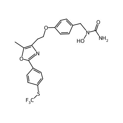 Cc1oc(-c2ccc(SC(F)(F)F)cc2)nc1CCOc1ccc(CN(O)C(N)=O)cc1